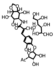 CC(=O)[C@H]1O[C@@H](Oc2ccc(/C=C(\C)C(=O)N[C@H]3[C@@H](O)[C@H](O)[C@@H]4OCO[C@@H]4[C@H]3O)cc2O)[C@@H](O)[C@@H]1O.O=C[C@H](O)[C@@H](O)[C@H](O)[C@H](O)CO